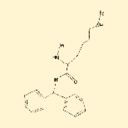 CCNCCCCC(NC(C)C)C(=O)NC(c1ccccc1)c1ccccc1